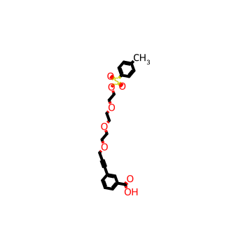 Cc1ccc(S(=O)(=O)OCCOCCOCCOCC#Cc2cccc(C(=O)O)c2)cc1